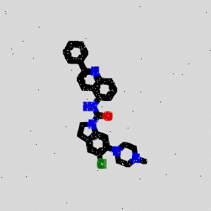 CN1CCN(c2cc3c(cc2Cl)CCN3C(=O)Nc2cccc3nc(-c4ccccc4)ccc23)CC1